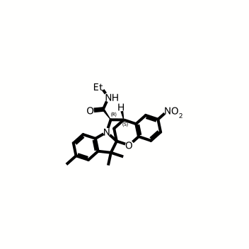 CCNC(=O)[C@H]1[C@H]2CC3(Oc4ccc([N+](=O)[O-])cc42)N1c1ccc(C)cc1C3(C)C